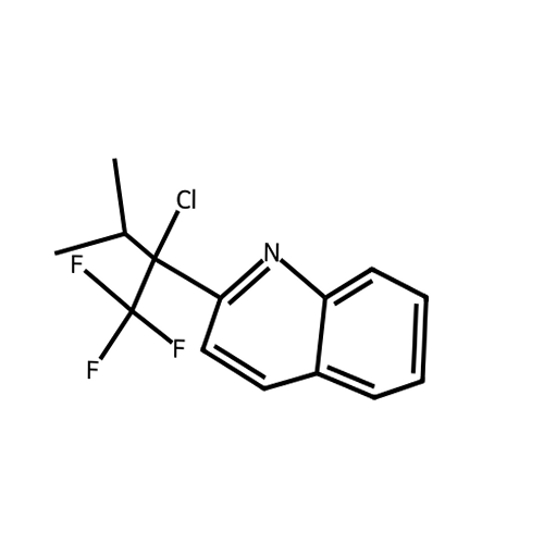 CC(C)C(Cl)(c1ccc2ccccc2n1)C(F)(F)F